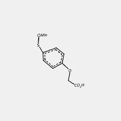 COSc1ccc(OCC(=O)O)cc1